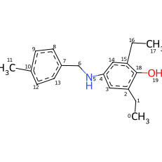 CCc1cc(NCc2ccc(C)cc2)cc(CC)c1O